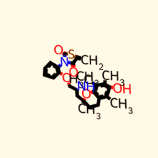 C=C1SC(=O)N(c2ccccc2OCC(CC2(C)CCc3c(C)c(O)c(C)c(C)c3O2)NC)C1=O